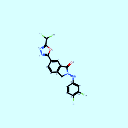 O=C1c2cc(-c3nnc(C(F)F)o3)ccc2CN1Nc1ccc(F)c(F)c1